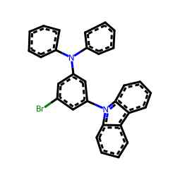 Brc1cc(N(c2ccccc2)c2ccccc2)cc(-n2c3ccccc3c3ccccc32)c1